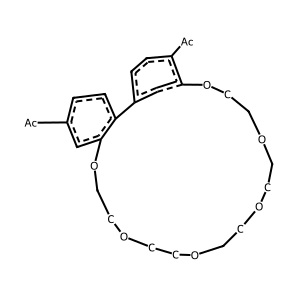 CC(=O)c1ccc2c(c1)OCCOCCOCCOCCOCCOc1cc-2ccc1C(C)=O